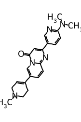 CN1CC=C(c2ccc3nc(-c4ccc(N(C)C)nc4)cc(=O)n3c2)CC1